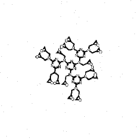 C1OC1CC(CC1CO1)c1nc(N(CC2CO2)CC2CO2)nc(N(CC2CO2)c2nc(N(CC3CO3)c3nc(N(CC4CO4)CC4CO4)nc(N(CC4CO4)CC4CO4)n3)nc(N(CC3CO3)c3nc(N(CC4CO4)CC4CO4)nc(N(CC4CO4)CC4CO4)n3)n2)n1